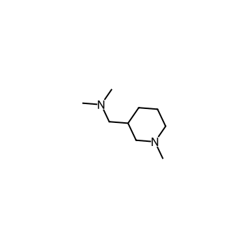 CN(C)CC1CCCN(C)C1